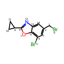 BrCc1cc(Br)c2oc(C3CC3)nc2c1